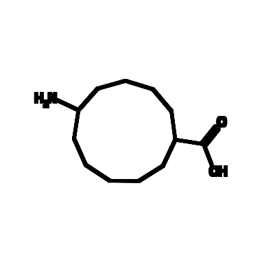 NC1CCCCCC(C(=O)O)CCCC1